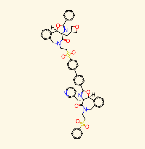 O=C1N(CCS(=O)(=O)c2ccccc2)Cc2ccccc2[C@@H]2OC(c3ccc(-c4ccc(S(=O)(=O)CCN5Cc6ccccc6[C@@H]6OC(c7ccccc7)=N[C@]6(CC6COC6)C5=O)cc4)cc3)=N[C@]12Cc1cccnc1